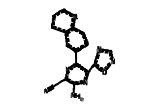 N#Cc1nc(-c2ccc3ncccc3c2)c(-c2ncno2)nc1N